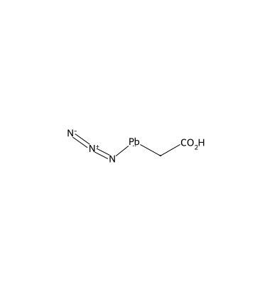 [N-]=[N+]=[N][Pb][CH2]C(=O)O